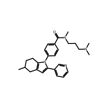 CC1CCc2c(cc(-c3cccnc3)n2-c2ccc(C(=O)N(C)CCCN(C)C)cc2)C1